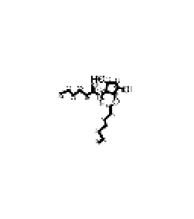 CCCCCCCOC1C(O)CC(O)C1N(C)C(C)CCCCC